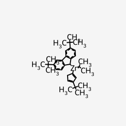 C[C](C)=[Zr]([C]1=CC(C(C)(C)C)=CC1)[CH]1c2ccc(C(C)(C)C)cc2-c2cc(C(C)(C)C)ccc21